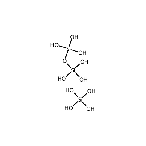 O[Si](O)(O)O.O[Si](O)(O)O[Si](O)(O)O